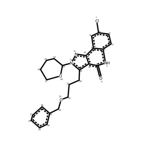 O=c1[nH]c2ccc(Cl)cc2c2nn(C3CCCCO3)c(CCCOCc3ccccc3)c12